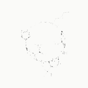 CCOCP1Cc2ccc(c(OC)c2)Nc2ncc(C(F)(F)F)c(n2)Nc2ccc(cc2C(=O)N(C)C)-c2cnn(c2)CCCO1